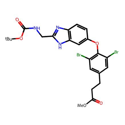 COC(=O)CCc1cc(Br)c(Oc2ccc3nc(CNC(=O)OC(C)(C)C)[nH]c3c2)c(Br)c1